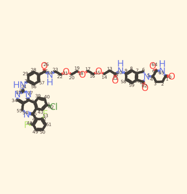 O=C1CCC(N2Cc3cc(NC(=O)CCOCCOCCOCCNC(=O)c4ccc(Nc5ncc6c(n5)-c5ccc(Cl)cc5C(c5c(F)cccc5F)=NC6)cc4)ccc3C2=O)C(=O)N1